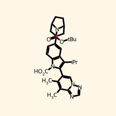 Cc1c(-c2c(C(C)C)c3cc(C4CC5CCC(C4)N5C(=O)OC(C)(C)C)ccc3n2C(=O)O)cn2ncnc2c1C